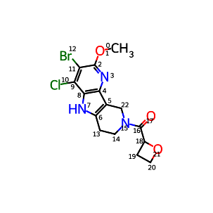 COc1nc2c3c([nH]c2c(Cl)c1Br)CCN(C(=O)C1CCO1)C3